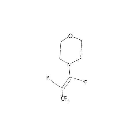 FC(=C(F)C(F)(F)F)N1CCOCC1